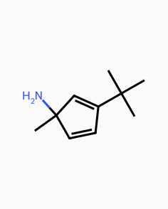 CC1(N)C=CC(C(C)(C)C)=C1